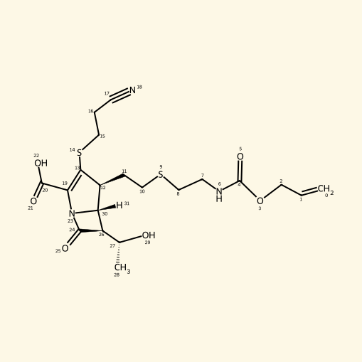 C=CCOC(=O)NCCSCC[C@@H]1C(SCCC#N)=C(C(=O)O)N2C(=O)[C@H]([C@@H](C)O)[C@@H]12